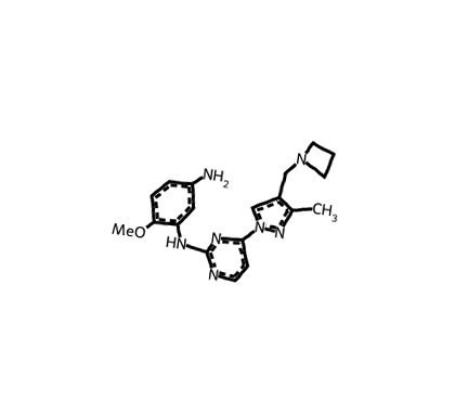 COc1ccc(N)cc1Nc1nccc(-n2cc(CN3CCC3)c(C)n2)n1